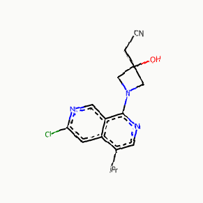 CC(C)c1cnc(N2CC(O)(CC#N)C2)c2cnc(Cl)cc12